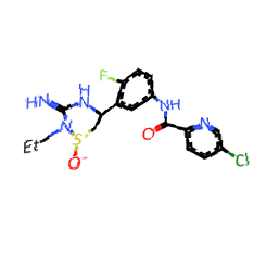 CCN1C(=N)NC(c2cc(NC(=O)c3ccc(Cl)cn3)ccc2F)C[S+]1[O-]